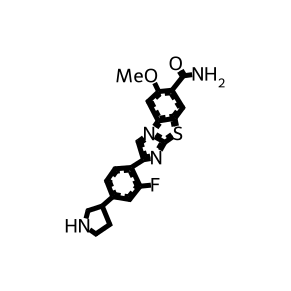 COc1cc2c(cc1C(N)=O)sc1nc(-c3ccc(C4CCNC4)cc3F)cn12